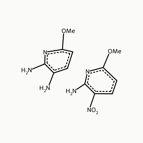 COc1ccc(N)c(N)n1.COc1ccc([N+](=O)[O-])c(N)n1